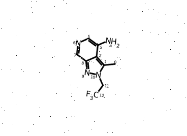 Cc1c2c(N)cncc2nn1CC(F)(F)F